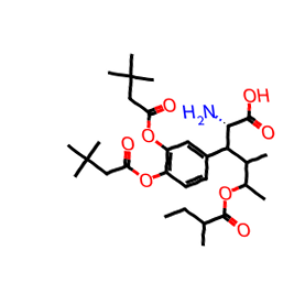 CCC(C)C(=O)OC(C)C(C)C(c1ccc(OC(=O)CC(C)(C)C)c(OC(=O)CC(C)(C)C)c1)[C@H](N)C(=O)O